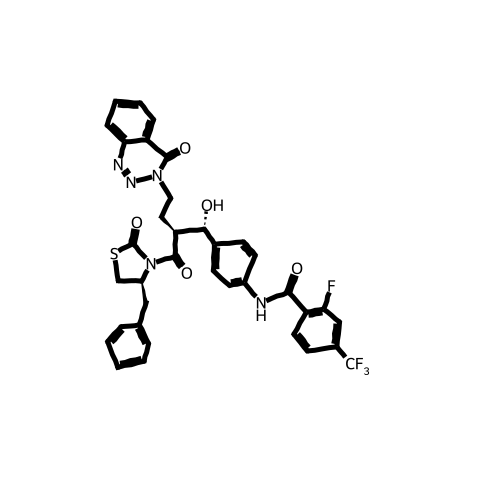 O=C(Nc1ccc([C@@H](O)[C@H](CCn2nnc3ccccc3c2=O)C(=O)N2C(=O)SC[C@@H]2Cc2ccccc2)cc1)c1ccc(C(F)(F)F)cc1F